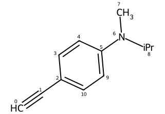 C#Cc1ccc(N(C)C(C)C)cc1